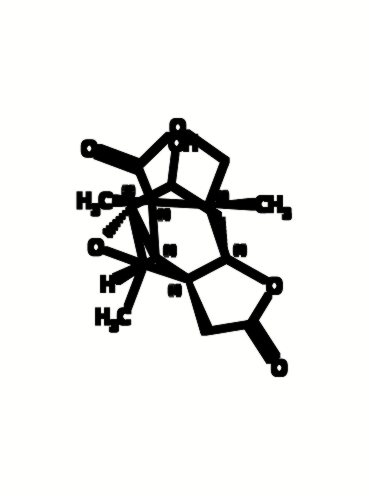 CC12O[C@@]13C(O)C[C@]14OC(=O)C[C@]21[C@H]3[C@]1(C)C(=O)OC[C@]41C